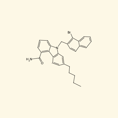 CCCCCc1c[c]c2c3c(C(N)=O)cccc3n(Cc3ccc4ccccc4c3Br)c2c1